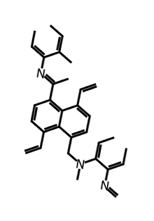 C=Cc1ccc(/C(C)=N/C(=C/C)C(/C)=C\C)c2c(C=C)ccc(CN(C)C(=C/C)/C(=C\C)N=C)c12